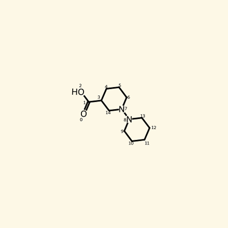 O=C(O)C1CCCN(N2CCCCC2)C1